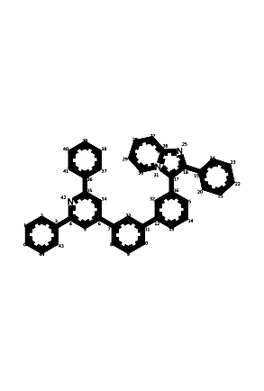 c1ccc(-c2cc(-c3cccc(-c4cccc(-c5c(-c6ccccc6)nc6ccccn56)c4)c3)cc(-c3ccccc3)n2)cc1